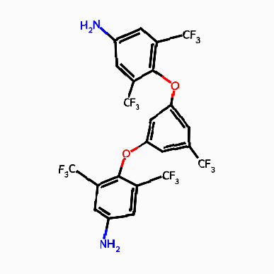 Nc1cc(C(F)(F)F)c(Oc2cc(Oc3c(C(F)(F)F)cc(N)cc3C(F)(F)F)cc(C(F)(F)F)c2)c(C(F)(F)F)c1